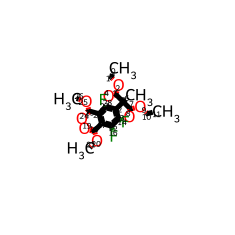 CCOC(=O)C(C)(C(=O)OCC)c1c(F)c(F)c(C(=O)OC)c(C(=O)OC)c1F